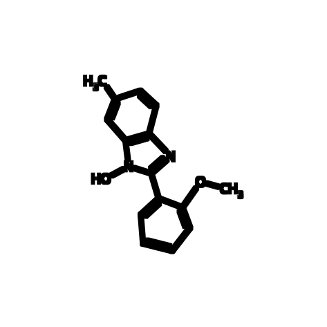 COc1ccccc1-c1nc2ccc(C)cc2n1O